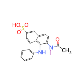 CC(=O)N(I)c1ccc2cc(S(=O)(=O)O)ccc2c1Nc1ccccc1